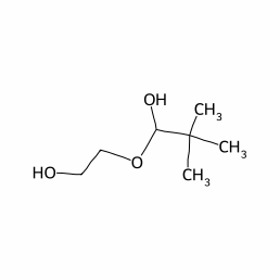 CC(C)(C)C(O)OCCO